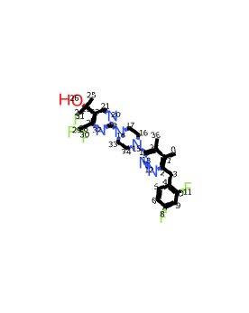 Cc1c(Cc2ccc(F)cc2F)nnc(N2CCN(c3ncc(C(C)(C)O)c(C(F)(F)F)n3)CC2)c1C